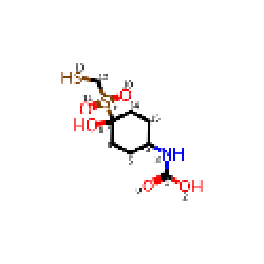 O=C(O)NC1CCC(O)(S(=O)(=O)CS)CC1